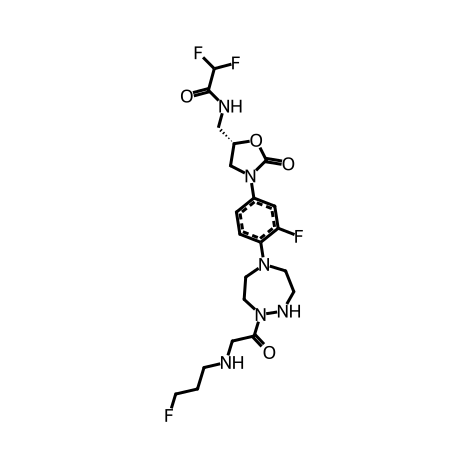 O=C(NC[C@H]1CN(c2ccc(N3CCNN(C(=O)CNCCCF)CC3)c(F)c2)C(=O)O1)C(F)F